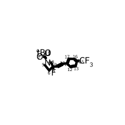 CC(C)(C)OC(=O)N1CCC(F)(C#Cc2ccc(C(F)(F)F)cc2)C1